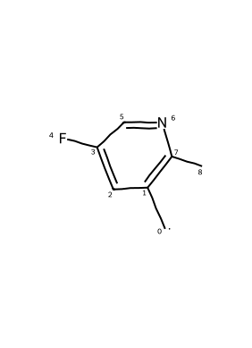 [CH2]c1cc(F)cnc1C